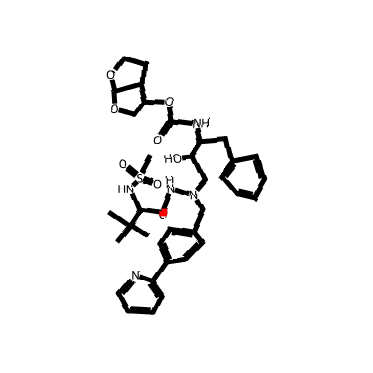 CC(C)(C)C(NS(C)(=O)=O)C(=O)NN(Cc1ccc(-c2ccccn2)cc1)CC(O)C(Cc1ccccc1)NC(=O)OC1COC2OCCC12